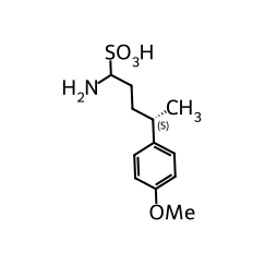 COc1ccc([C@@H](C)CCC(N)S(=O)(=O)O)cc1